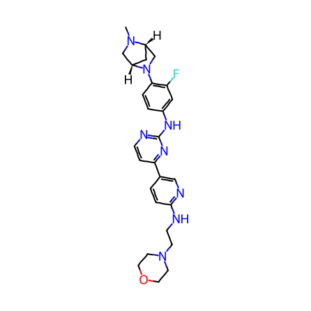 CN1C[C@@H]2C[C@H]1CN2c1ccc(Nc2nccc(-c3ccc(NCCN4CCOCC4)nc3)n2)cc1F